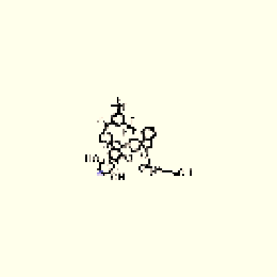 CN(CCCCO)C(=O)CO[C@H]1Cc2ccccc2C12CCN(CC[C@@]1(c3ccc(Cl)c(Cl)c3)CN(C(=O)c3cc(C(F)(F)F)cc(C(F)(F)F)c3)CCO1)CC2.O=C(O)/C=C\C(=O)O